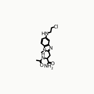 CC(=O)NC(Cc1nc2cc(NCCCl)ccc2n1C)C(N)=O